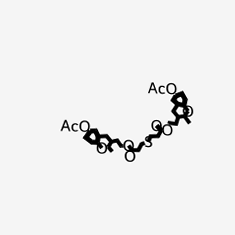 CC(=O)Oc1ccc2c(c1)CC(CCOC(=O)CCSCCC(=O)OCCC1Cc3cc(OC(C)=O)ccc3OC1C)C(C)O2